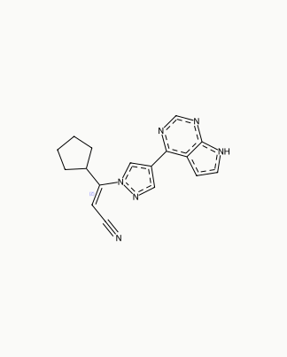 N#C/C=C(/C1CCCC1)n1cc(-c2ncnc3[nH]ccc23)cn1